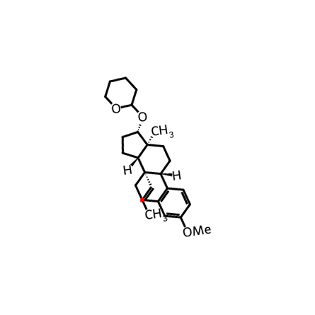 C/C=C/[C@@]12CCc3cc(OC)ccc3[C@H]1CC[C@]1(C)[C@@H](OC3CCCCO3)CC[C@H]12